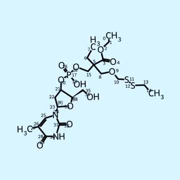 CCOC(=O)C(CC)(COCSSCC)COP(=O)(O)OC1C[C@H](n2cc(C)c(=O)[nH]c2=O)O[C@@H]1CO